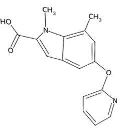 Cc1cc(Oc2ccccn2)cc2cc(C(=O)O)n(C)c12